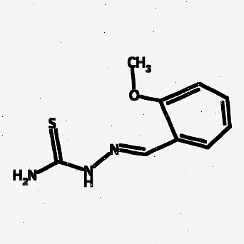 COc1ccccc1/C=N/NC(N)=S